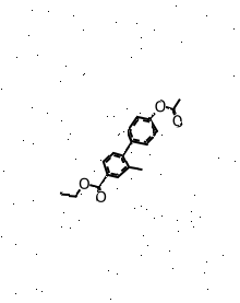 CCOC(=O)c1ccc(-c2ccc(OC(C)=O)cc2)c(C)c1